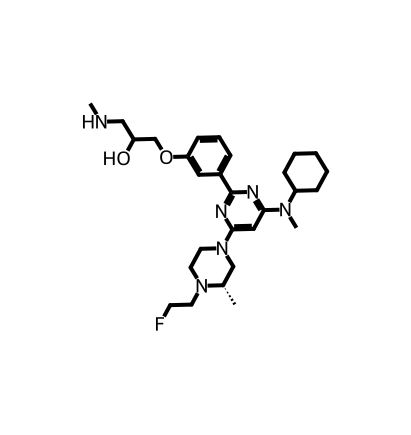 CNCC(O)COc1cccc(-c2nc(N3CCN(CCF)[C@@H](C)C3)cc(N(C)C3CCCCC3)n2)c1